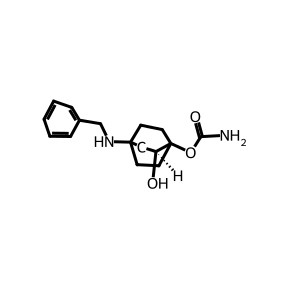 NC(=O)OC12CCC(NCc3ccccc3)(CC1)C[C@@H]2O